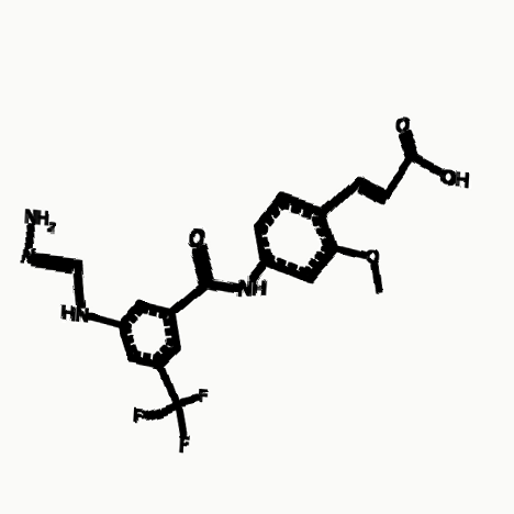 COc1cc(NC(=O)c2cc(NC=NN)cc(C(F)(F)F)c2)ccc1C=CC(=O)O